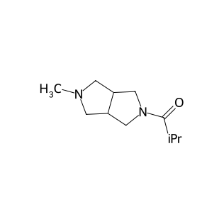 CC(C)C(=O)N1CC2CN(C)CC2C1